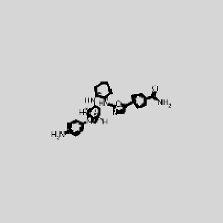 NC(=O)c1ccc(-c2cnc(N[C@@H]3CCCC[C@H]3N[C@H]3C[C@@H]4C[C@H]3N(c3ccc(N)cc3)C4)o2)cc1